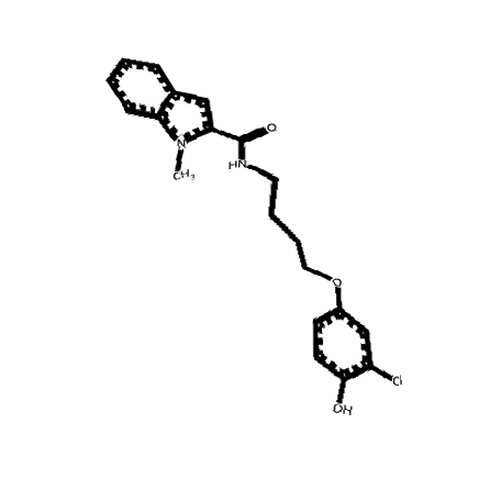 Cn1c(C(=O)NCCCCOc2ccc(O)c(Cl)c2)cc2ccccc21